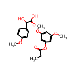 CCC(=O)Oc1cc(OC)cc(OC)c1.COc1ccc(C(O)C(=O)O)cc1